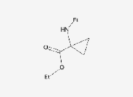 CCNC1(C(=O)OCC)CC1